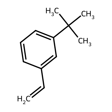 C=Cc1cccc(C(C)(C)C)c1